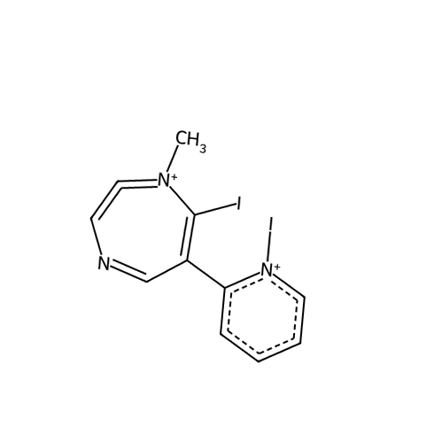 C[N+]1=C=CN=CC(c2cccc[n+]2I)=C1I